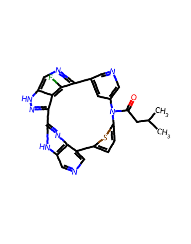 CC(C)CC(=O)n1c2cncc(c2)c2ncc3[nH]nc(c4nc5c(cncc5c5ccc1s5)[nH]4)c3c2F